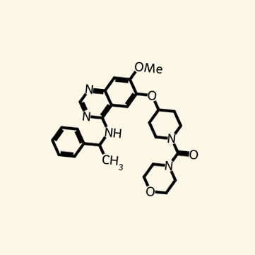 COc1cc2ncnc(NC(C)c3ccccc3)c2cc1OC1CCN(C(=O)N2CCOCC2)CC1